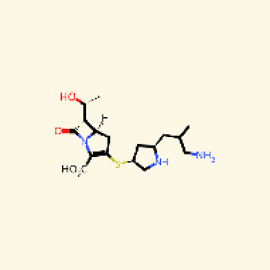 CC(CN)C[C@@H]1C[C@H](SC2=C(C(=O)O)N3C(=O)[C@H]([C@@H](C)O)[C@H]3C2)CN1